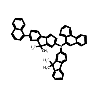 CC1(C)c2ccccc2-c2ccc(N(c3ccc4c(c3)C(C)(C)c3cc(-c5cccc6ccccc56)ccc3-4)c3cc4ccccc4c4ccccc34)cc21